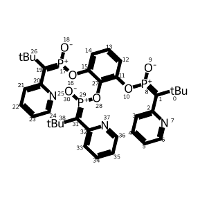 CC(C)(C)C(c1ccccn1)=[P+]([O-])Oc1cccc(O[P+]([O-])=C(c2ccccn2)C(C)(C)C)c1O[P+]([O-])=C(c1ccccn1)C(C)(C)C